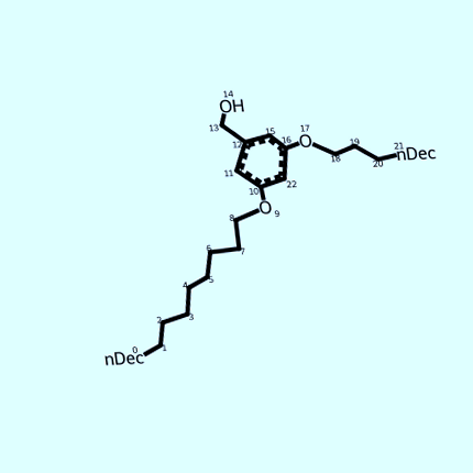 CCCCCCCCCCCCCCCCCCOc1cc(CO)cc(OCCCCCCCCCCCCC)c1